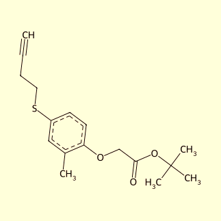 C#CCCSc1ccc(OCC(=O)OC(C)(C)C)c(C)c1